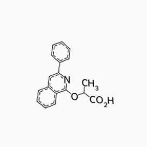 CC(Oc1nc(-c2ccccc2)cc2ccccc12)C(=O)O